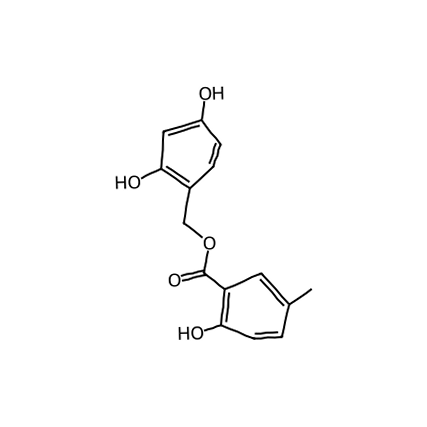 Cc1ccc(O)c(C(=O)OCc2ccc(O)cc2O)c1